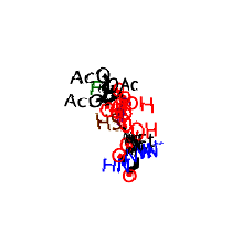 CC[C@@]1(N=[N+]=[N-])[C@H](O)[C@@H](COP(=O)(S)OP(=O)(O)OC2OC3(OC(C)=O)C2C(O)C(OC(C)=O)C3[C@@H](F)COC(C)=O)O[C@H]1n1ccc(=O)[nH]c1=O